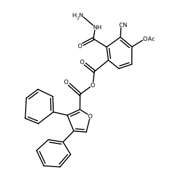 CC(=O)Oc1ccc(C(=O)OC(=O)c2occ(-c3ccccc3)c2-c2ccccc2)c(C(=O)NN)c1C#N